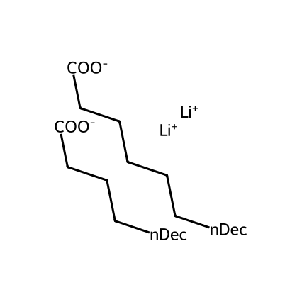 CCCCCCCCCCCCCC(=O)[O-].CCCCCCCCCCCCCCCC(=O)[O-].[Li+].[Li+]